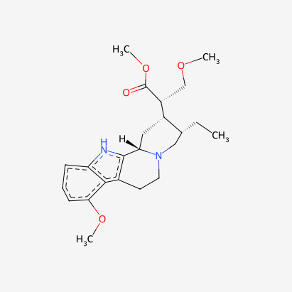 CC[C@@H]1CN2CCc3c([nH]c4cccc(OC)c34)[C@@H]2C[C@@H]1[C@@H](COC)C(=O)OC